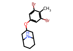 Cc1c(Br)cc(OC2CC3CCCC(C2)N3)cc1Br